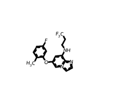 Cc1ccc(F)cc1Oc1cc(NCCC(F)(F)F)c2nccn2c1